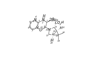 CC(C)(C)[C@H](Nc1ncccn1)C(=O)N1C[C@H]2[C@@H]([C@H]1C(=O)O)C2(C)C